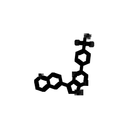 CC(C)S(=O)(=O)c1ccc(-c2cnc3[nH]cc(-c4ccc5ncccc5c4)c3n2)cc1